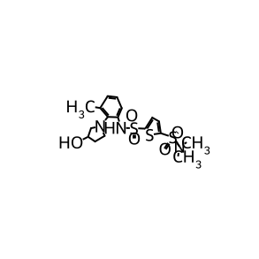 Cc1cccc(NS(=O)(=O)c2ccc(S(=O)(=O)N(C)C)s2)c1N1CCC(O)C1